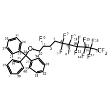 F[C@H](CCC(F)(F)C(F)(F)C(F)(F)C(F)(F)C(F)(F)C(F)(F)F)COC(c1ccccc1)(c1ccccc1)c1ccccc1